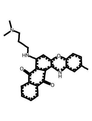 Cc1ccc2oc3cc(NCCCN(C)C)c4c(=O)c5ccccc5c(=O)c4c3[nH]c2c1